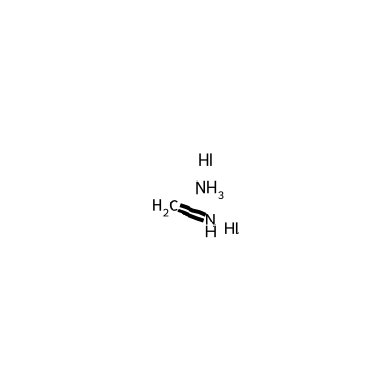 C=N.I.I.N